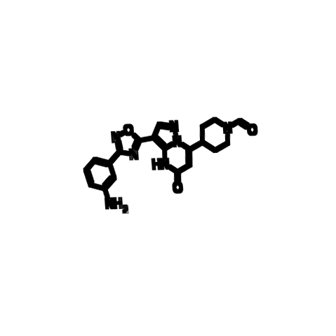 Nc1cccc(-c2noc(-c3cnn4c(C5CCN(C=O)CC5)cc(=O)[nH]c34)n2)c1